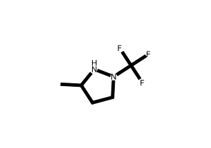 CC1CCN(C(F)(F)F)N1